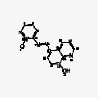 [O-][n+]1ccccc1N=Nc1ccc(O)c2ncccc12